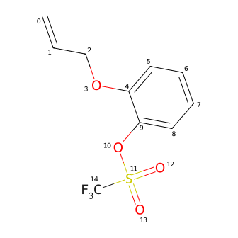 C=CCOc1ccccc1OS(=O)(=O)C(F)(F)F